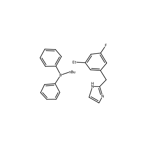 CCCCB(c1ccccc1)c1ccccc1.CCc1cc(F)cc(Cc2ncc[nH]2)c1